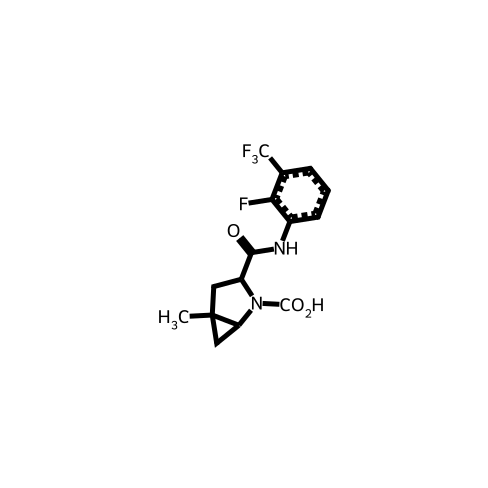 CC12CC(C(=O)Nc3cccc(C(F)(F)F)c3F)N(C(=O)O)C1C2